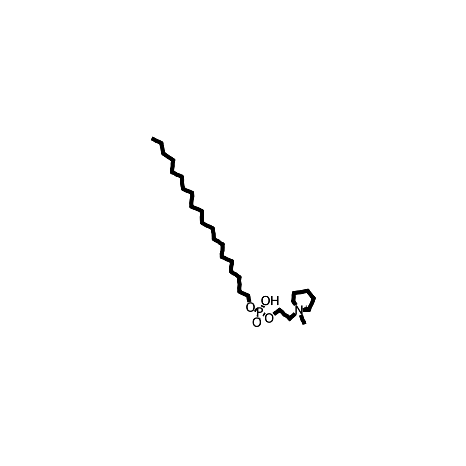 CCCCCCCCCCCCCCCCCCCCOP(=O)(O)OCC[N+]1(C)CCCCC1